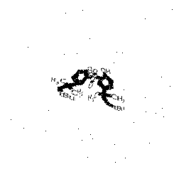 CC(C)(C)CC(C)(C)c1ccc(O)c(S(=O)(=O)c2cc(C(C)(C)CC(C)(C)C)ccc2O)c1